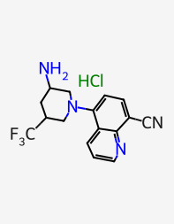 Cl.N#Cc1ccc(N2CC(N)CC(C(F)(F)F)C2)c2cccnc12